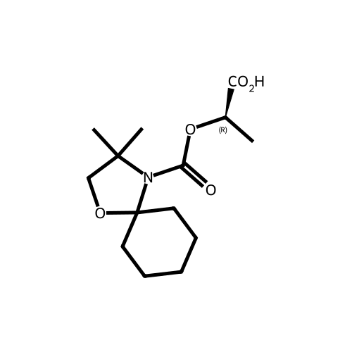 C[C@@H](OC(=O)N1C(C)(C)COC12CCCCC2)C(=O)O